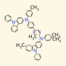 C/C=C(\C=C/CN(C1=CCC(C)(C)C=C1)c1ccc2c(c1)c1c(n2C2C=CC=CC2)C=CC(C)C1)c1ccc(N(c2ccc(C)cc2)c2ccc3c(c2)C2C=CC=CC2N3c2ccccc2)cc1